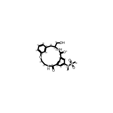 CN(c1cc2cc(c1)C(=O)NC(CO)Cc1cccc(c1)OCCNC2=O)S(C)(=O)=O